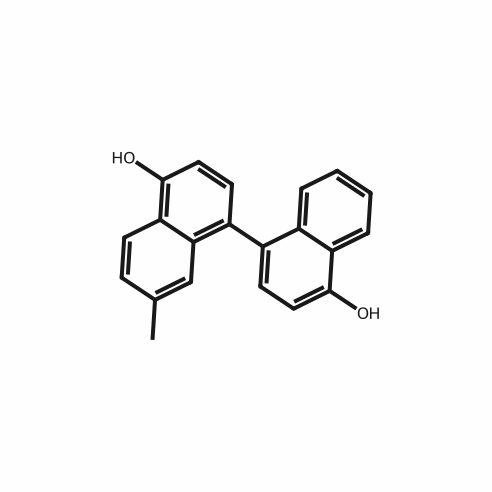 Cc1ccc2c(O)ccc(-c3ccc(O)c4ccccc34)c2c1